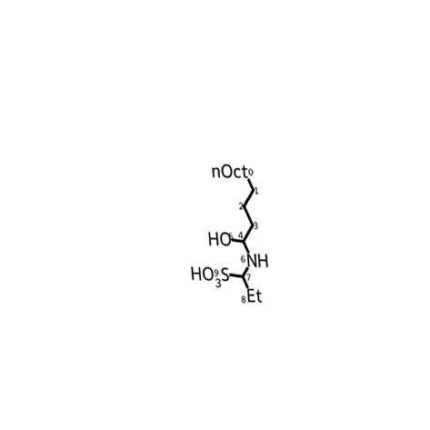 CCCCCCCCCCCC(O)NC(CC)S(=O)(=O)O